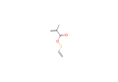 C=CSOC(=O)C(=C)C